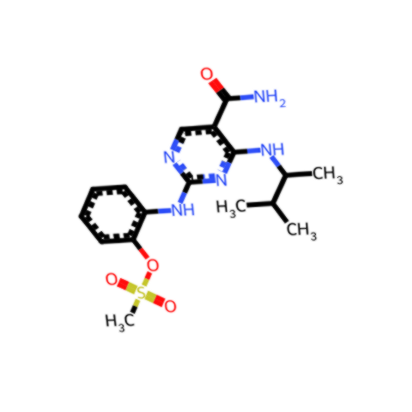 CC(C)C(C)Nc1nc(Nc2ccccc2OS(C)(=O)=O)ncc1C(N)=O